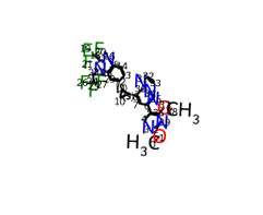 COc1ncc(-c2cc([C@H]3C[C@@H]3c3ccc4nc(C(F)(F)F)n(CC(F)(F)F)c4c3)c3nccn3n2)c(OC)n1